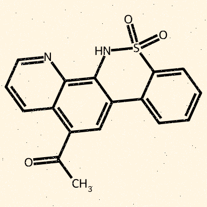 CC(=O)c1cc2c(c3ncccc13)NS(=O)(=O)c1ccccc1-2